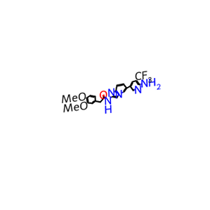 COc1ccc(CC(=O)Nc2cn3cc(-c4cnc(N)c(C(F)(F)F)c4)ccc3n2)cc1OC